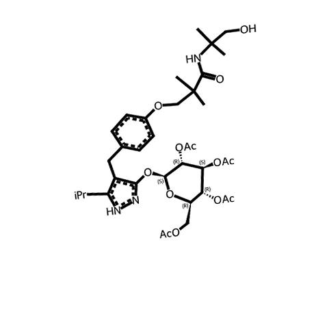 CC(=O)OC[C@H]1O[C@@H](Oc2n[nH]c(C(C)C)c2Cc2ccc(OCC(C)(C)C(=O)NC(C)(C)CO)cc2)[C@H](OC(C)=O)[C@@H](OC(C)=O)[C@@H]1OC(C)=O